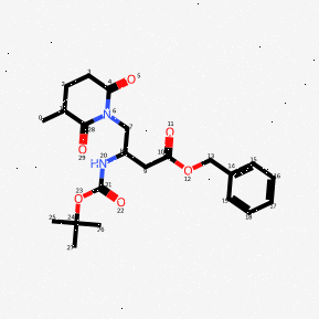 CC1CCC(=O)N(CC(CC(=O)OCc2ccccc2)NC(=O)OC(C)(C)C)C1=O